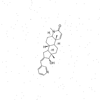 CN1C(=O)C=C[C@]2(C)[C@H]3CC[C@]4(C)[C@@H](O)/C(=C\c5cccnc5)C[C@H]4[C@@H]3CC[C@@H]12